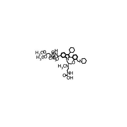 COC(CN(C)S(=O)(=O)NC(=O)c1ccc2c(C3CCCCC3)c3n(c2c1)C[C@@H](N(C)CCNC(=O)O)COc1c(CN2CCCCC2)cccc1-3)OC